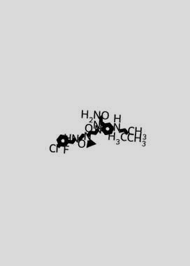 CC(C)(C)CCNc1ccc2c(c1)c(C(N)=O)nn2CC(=O)N(CC(=O)NCc1cccc(Cl)c1F)C1CC1